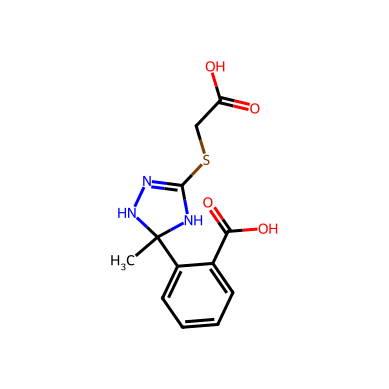 CC1(c2ccccc2C(=O)O)NN=C(SCC(=O)O)N1